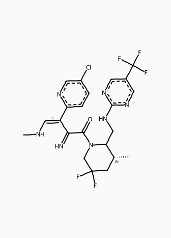 CN/C=C(\C(=N)C(=O)N1CC(F)(F)C[C@@H](C)C1CNc1ncc(C(F)(F)F)cn1)c1ccc(Cl)cn1